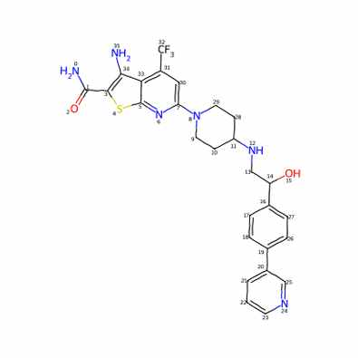 NC(=O)c1sc2nc(N3CCC(NCC(O)c4ccc(-c5cccnc5)cc4)CC3)cc(C(F)(F)F)c2c1N